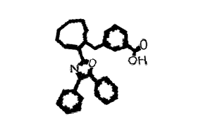 O=C(O)c1cccc(CC2CCCCC/C=C\2c2nc(-c3ccccc3)c(-c3ccccc3)o2)c1